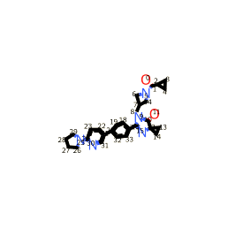 O=C(C1CC1)N1CC(CN2C(=O)C3(CC3)N=C2c2ccc(-c3ccc(N4CCCC4)nc3)cc2)C1